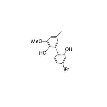 COc1cc(C)cc(-c2ccc(C(C)C)cc2O)c1O